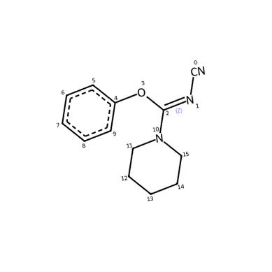 N#C/N=C(\Oc1ccccc1)N1CCCCC1